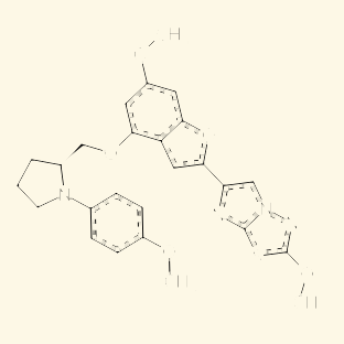 COc1ccc(N2CCC[C@H]2COc2cc(OC)cc3oc(-c4cn5nc(OC)sc5n4)cc23)cc1